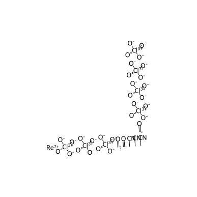 CC#N.CC#N.CC#N.[C]=O.[C]=O.[C]=O.[O-][Cl+3]([O-])([O-])[O-].[O-][Cl+3]([O-])([O-])[O-].[O-][Cl+3]([O-])([O-])[O-].[O-][Cl+3]([O-])([O-])[O-].[O-][Cl+3]([O-])([O-])[O-].[O-][Cl+3]([O-])([O-])[O-].[O-][Cl+3]([O-])([O-])[O-].[Re+7]